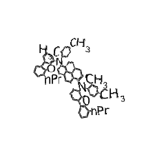 CCCc1cccc2c1oc1c(N(c3ccc(C)cc3C)c3ccc4ccc5c(N(c6ccc(C)cc6C)c6cccc7c6oc6c(CCC)cccc67)ccc6ccc3c4c65)cccc12